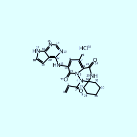 C=CC(=O)N1n2c(c(C)cc(Nc3ncnc4[nH]ccc34)c2=O)C(=O)NC12CCCCC2.Cl